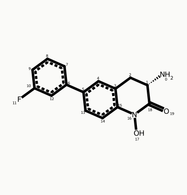 N[C@H]1Cc2cc(-c3cccc(F)c3)ccc2N(O)C1=O